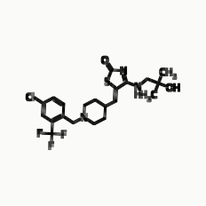 CC(C)(O)CNC1=NC(=O)S/C1=C\C1CCN(Cc2ccc(Cl)cc2C(F)(F)F)CC1